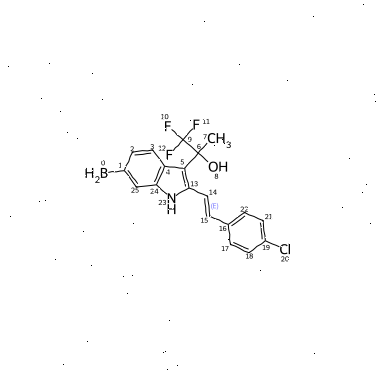 Bc1ccc2c(C(C)(O)C(F)(F)F)c(/C=C/c3ccc(Cl)cc3)[nH]c2c1